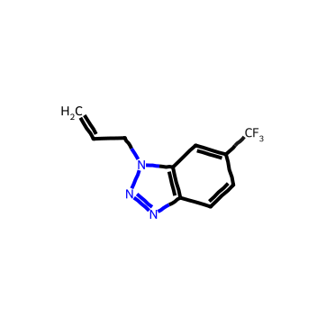 C=CCn1nnc2ccc(C(F)(F)F)cc21